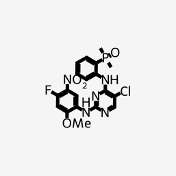 COc1cc(F)c([N+](=O)[O-])cc1Nc1ncc(Cl)c(Nc2ccccc2P(C)(C)=O)n1